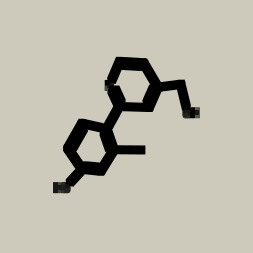 Cc1cc(O)ccc1-c1cc(CO)ccn1